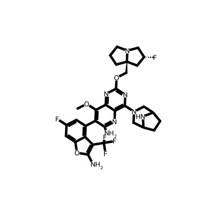 COc1c(-c2cc(F)cc3oc(N)c(C(F)(F)F)c23)c(N)nc2c(N3CC4CCC(C3)N4)nc(OC[C@@]34CCCN3C[C@H](F)C4)nc12